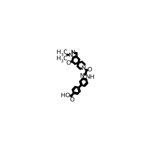 CC(C)n1ncc2c1C(=O)CC1(CCN(C(=O)c3nc4cc(-c5ccc(C(=O)O)cc5)ccc4[nH]3)CC1)C2